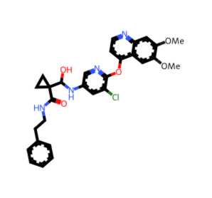 COc1cc2nccc(Oc3ncc(NC(O)C4(C(=O)NCCc5ccccc5)CC4)cc3Cl)c2cc1OC